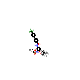 C=CS(=O)(=O)Nc1cc(NC(=O)c2ccc(-c3ccc(C(F)(F)F)cc3)cc2)ccc1O[Si](C)(C)C(C)(C)C